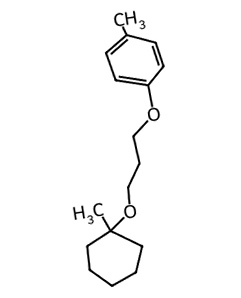 Cc1ccc(OCCCOC2(C)CCCCC2)cc1